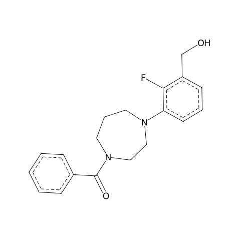 O=C(c1ccccc1)N1CCCN(c2cccc(CO)c2F)CC1